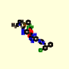 CN(C)CC[C@H](CSc1ccccc1)Nc1ccc(S(=O)(=O)Nc2ncnc3cc(N4CCN(Cc5cc(Cl)ccc5-c5ccccc5)CC4)ccc23)c(OC(F)(F)F)c1